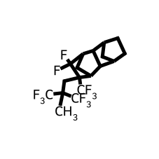 CC(CC1(C(F)(F)F)C2CC(C3C4CCC(C4)C32)C1(F)F)(C(F)(F)F)C(F)(F)F